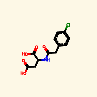 O=C(O)CC(NC(=O)Cc1ccc(Cl)cc1)C(=O)O